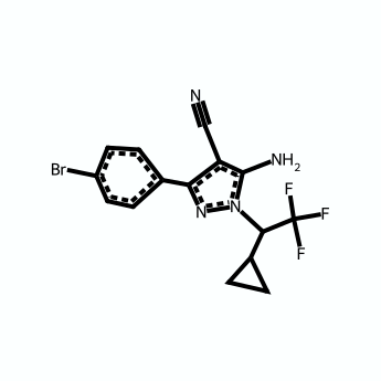 N#Cc1c(-c2ccc(Br)cc2)nn(C(C2CC2)C(F)(F)F)c1N